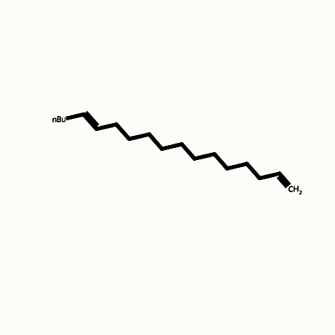 C=CCCCCCCCCCCC=CCCCC